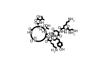 CC(C)[C@H](NC(=O)[C@@H]1CCC(=O)NCCC(=O)NCCCC[C@H](NC(=O)[C@H](CCCCN)NCC(Cc2ccc(O)cc2)N2NNC(=O)C[C@H](NC(=O)C(CCCCN)NC(=O)[C@@H](N)CS)C2=O)C(=O)N[C@@H](C(C)O)C(=O)N1)C(=O)O